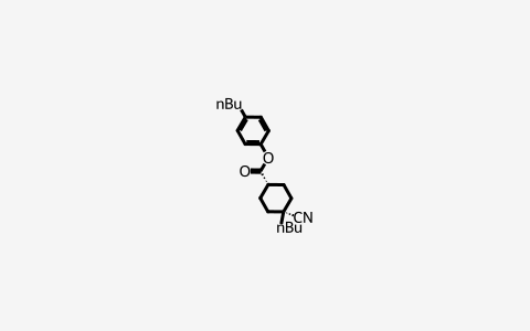 CCCCc1ccc(OC(=O)[C@H]2CC[C@](C#N)(CCCC)CC2)cc1